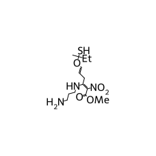 CCC(C)(S)O/C=C/C/C(NCCCN)=C(/C(=O)OC)[N+](=O)[O-]